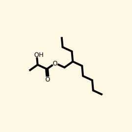 CCCCCC(CCC)COC(=O)C(C)O